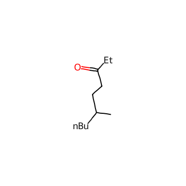 CCCCC(C)CCC(=O)CC